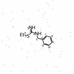 CCSC(=N)NCc1ccccc1